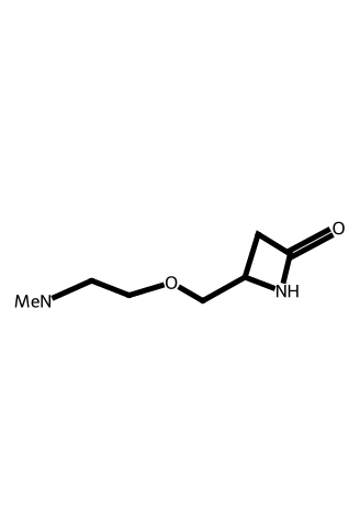 CNCCOCC1CC(=O)N1